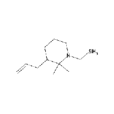 C=CCC1CCCN(C[SiH3])C1(C)C